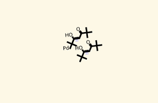 CC(C)(C)C(=O)/C=C(\O)C(C)(C)C.CC(C)(C)C(=O)/C=C(\O)C(C)(C)C.[Pd]